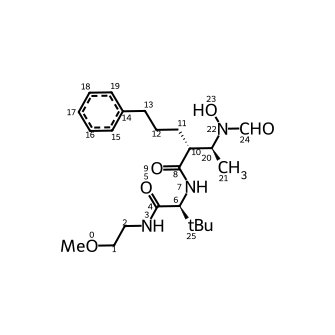 COCCNC(=O)[C@@H](NC(=O)[C@H](CCCc1ccccc1)[C@H](C)N(O)C=O)C(C)(C)C